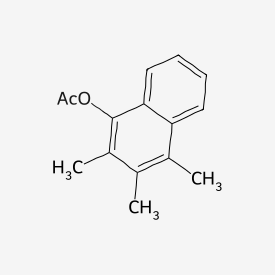 CC(=O)Oc1c(C)c(C)c(C)c2ccccc12